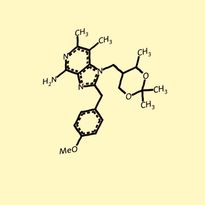 COc1ccc(Cc2nc3c(N)nc(C)c(C)c3n2CC2COC(C)(C)OC2C)cc1